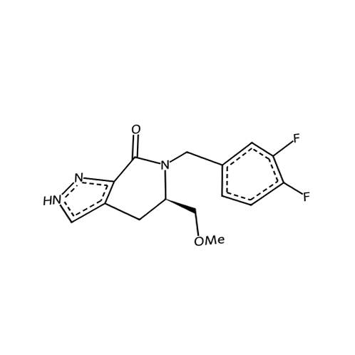 COC[C@H]1Cc2c[nH]nc2C(=O)N1Cc1ccc(F)c(F)c1